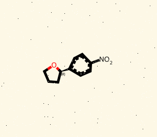 O=[N+]([O-])c1ccc([C@H]2CCCO2)cc1